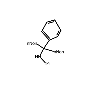 CCCCCCCCCC(CCCCCCCCC)(NC(C)C)c1ccccc1